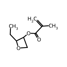 C=C(C)C(=O)OC1COC1CC